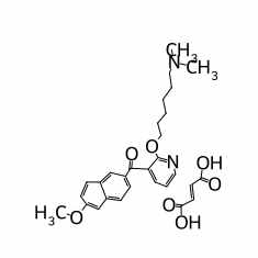 COc1ccc2cc(C(=O)c3cccnc3OCCCCCCN(C)C)ccc2c1.O=C(O)C=CC(=O)O